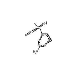 CS(=N)(=C=O)c1cccc(N)c1